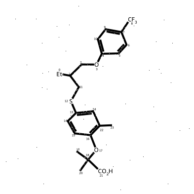 CCC(COc1ccc(C(F)(F)F)cc1)CSc1ccc(OC(C)(C)C(=O)O)c(C)c1